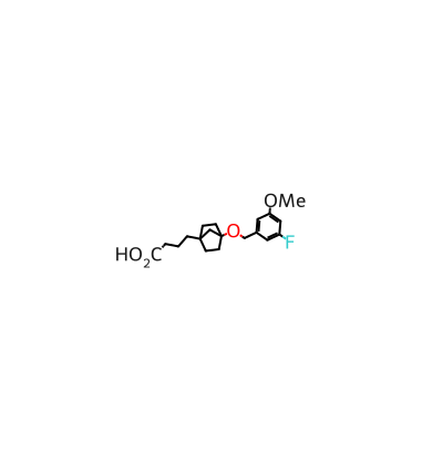 COc1cc(F)cc(COC23CCC(CCCC(=O)O)(CC2)C3)c1